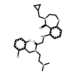 CN(C)CCN(Cc1c(Cl)cccc1Cl)C(=O)CNc1cccc2c1C(=O)N(CC1CC1)CCO2